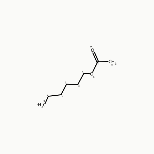 [CH2]CCCCCOC(C)=O